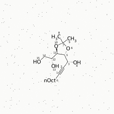 CCCCCCCCC#C[C@@H](O)[C@H]1OC(C)(C)O[C@@H]1[C@H](O)CO